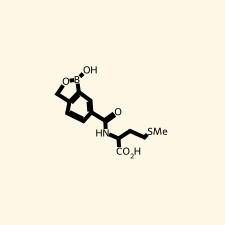 CSCCC(NC(=O)c1ccc2c(c1)B(O)OC2)C(=O)O